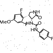 COc1cc(F)c([C@@H]2CNC(=O)[C@@H]2NC(=O)Nc2ccc(F)cc2)c(F)c1